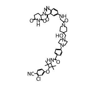 CC1(C)C(NC(=O)c2ccc(N3CCN(CC4(O)CCN(C(=O)CNc5ccc6nnn(C7CCC(=O)NC7=O)c(=O)c6c5)CC4)CC3)cc2)C(C)(C)C1Oc1ccc(C#N)c(Cl)c1